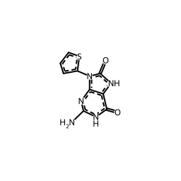 Nc1nc2c([nH]c(=O)n2-c2cccs2)c(=O)[nH]1